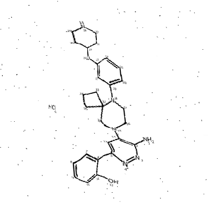 Cl.Nc1nnc(-c2ccccc2O)cc1N1CCN(c2cccc(OC3CCNCC3)c2)C2(CCC2)C1